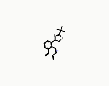 C=C/C=C\c1c(C=C)cccc1C1COC(C(C)(C)C)=N1